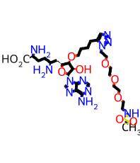 CS(=O)(=O)NCCOCCOCCOCCn1nncc1CCCCO[C@H]1[C@@H](O)[C@H](n2cnc3c(N)ncnc32)O[C@@H]1C[C@@H](N)CC[C@H](N)C(=O)O